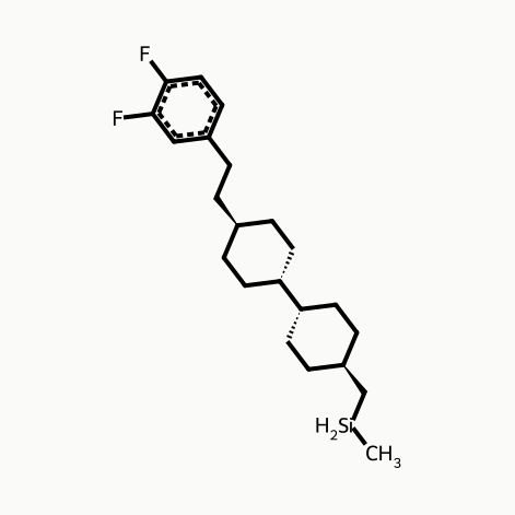 C[SiH2]C[C@H]1CC[C@H]([C@H]2CC[C@H](CCc3ccc(F)c(F)c3)CC2)CC1